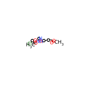 CCOC(=O)Cc1ccc(-c2ccc(Oc3ncccc3NC(=O)O[C@H](C)c3ccccc3Cl)cc2)cc1